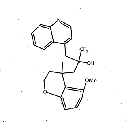 COc1cccc2c1C(C)(CC(O)(Cc1ccnc3ccccc13)C(F)(F)F)CCO2